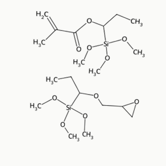 C=C(C)C(=O)OC(CC)[Si](OC)(OC)OC.CCC(OCC1CO1)[Si](OC)(OC)OC